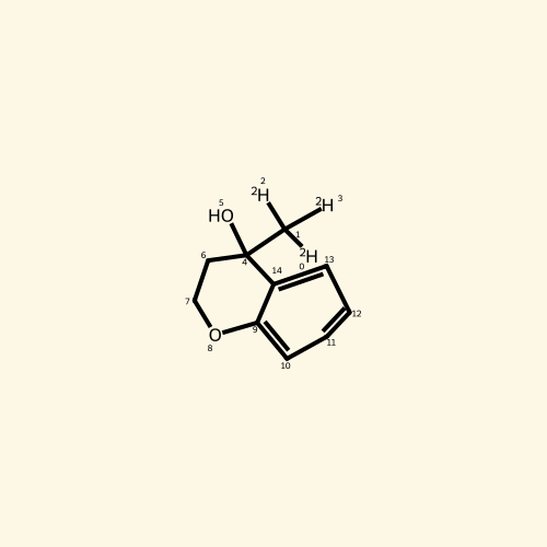 [2H]C([2H])([2H])C1(O)CCOc2ccccc21